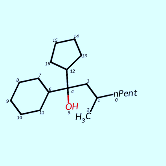 CCCCCC(C)CC(O)(C1CCCCC1)C1CCCC1